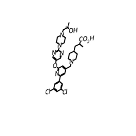 CC(CC1CCN(Cc2cc(Oc3cnc(N4CCN(C[C@@H](C)O)CC4)nc3)nc(-c3cc(Cl)cc(Cl)c3)c2)CC1)C(=O)O